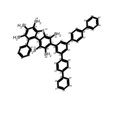 Bc1c(B)c(-c2ccccc2)c2c(sc3c(B)c(-c4cc(-c5ccc(-c6ccccc6)cc5)cc(-c5ccc(-c6ccccc6)cc5)c4)c(B)c(B)c32)c1B